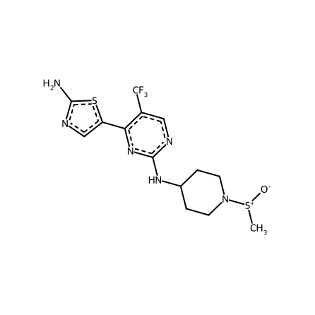 C[S+]([O-])N1CCC(Nc2ncc(C(F)(F)F)c(-c3cnc(N)s3)n2)CC1